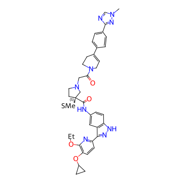 CCOc1nc(-c2n[nH]c3ccc(NC(=O)[C@]4(SC)CCN(CC(=O)N5CC=C(c6ccc(-c7ncn(C)n7)cc6)CC5)C4)cc23)ccc1OC1CC1